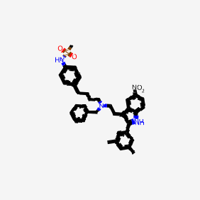 Cc1cc(C)cc(-c2[nH]c3ccc([N+](=O)[O-])cc3c2CCN(CCCCc2ccc(NS(C)(=O)=O)cc2)Cc2ccccc2)c1